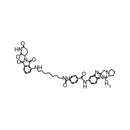 C[C@H]1CCCN1Cc1nc2cc(NC(=O)c3ccc(C(=O)NCCCCCCCNc4cccc5c4C(=O)N(C4CCC(=O)NC4=O)C5=O)cc3)ccc2[nH]1